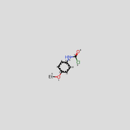 CCOc1ccc(NC(=O)Cl)cc1